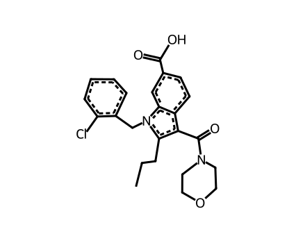 CCCc1c(C(=O)N2CCOCC2)c2ccc(C(=O)O)cc2n1Cc1ccccc1Cl